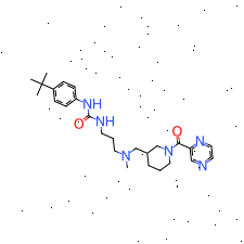 CN(CCCNC(=O)Nc1ccc(C(C)(C)C)cc1)CC1CCCN(C(=O)c2cnccn2)C1